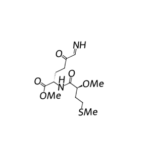 COC(=O)[C@H](CCC(=O)C=N)NC(=O)[C@H](CCSC)OC